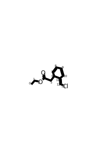 CCOC(=O)CC1C=CC=CC1=CCl